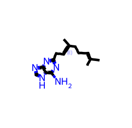 CC(C)=CCC/C(C)=C/Cc1nc(N)c2[nH]cnc2n1